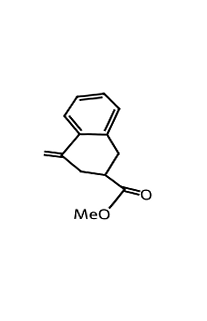 C=C1CC(C(=O)OC)Cc2ccccc21